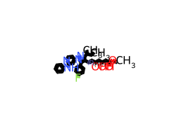 CCOC(=O)C[C@H](O)C[C@H](O)/C=C/c1c(C(C)CC)nn(-c2ccnc(Nc3ccccc3)c2)c1-c1ccc(F)cc1